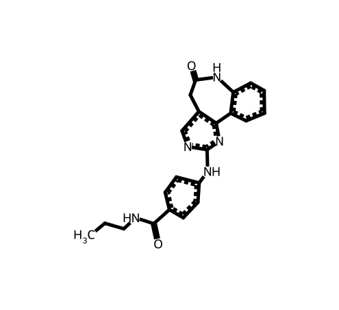 CCCNC(=O)c1ccc(Nc2ncc3c(n2)-c2ccccc2NC(=O)C3)cc1